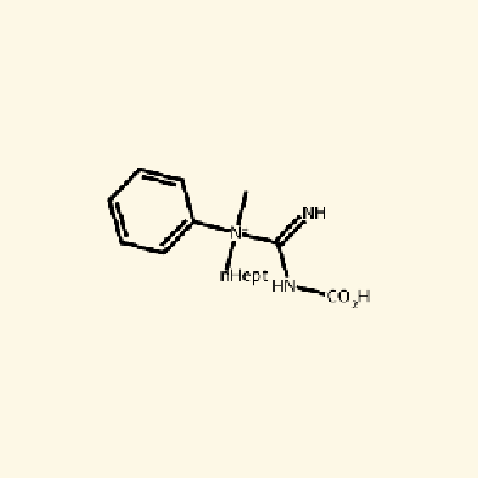 CCCCCCC[N+](C)(C(=N)NC(=O)O)c1ccccc1